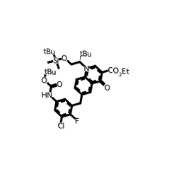 CCOC(=O)c1cn([C@H](CO[Si](C)(C)C(C)(C)C)C(C)(C)C)c2ccc(Cc3cc(NC(=O)OC(C)(C)C)cc(Cl)c3F)cc2c1=O